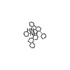 c1ccc(Nc2c(-c3c(-c4ccccc4)ccc4c3[nH]c3ccccc34)ccc3c2ccc2ccccc23)cc1